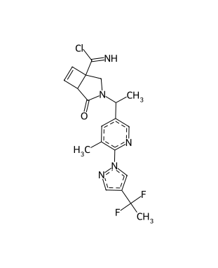 Cc1cc(C(C)N2CC3(C(=N)Cl)C=CC3C2=O)cnc1-n1cc(C(C)(F)F)cn1